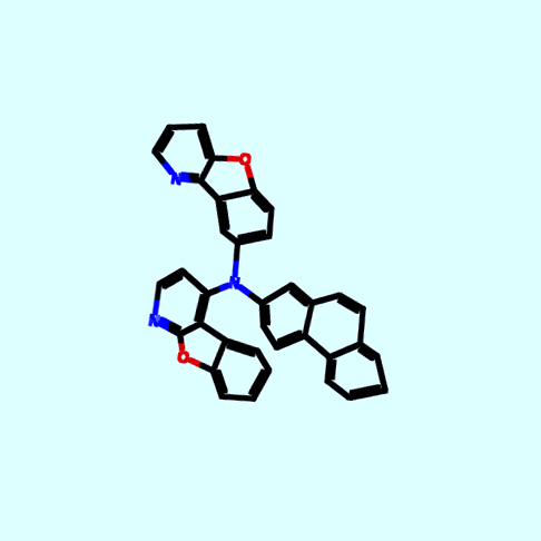 c1ccc2c(c1)ccc1cc(N(c3ccc4oc5cccnc5c4c3)c3ccnc4oc5ccccc5c34)ccc12